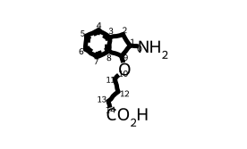 NC1Cc2ccccc2C1OCCCC(=O)O